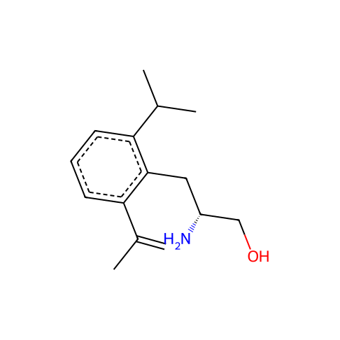 C=C(C)c1cccc(C(C)C)c1C[C@@H](N)CO